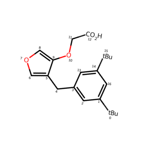 CC(C)(C)c1cc(Cc2cocc2OCC(=O)O)cc(C(C)(C)C)c1